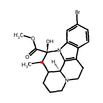 CC[C@]12CCCN3CCc4c(n(c5cc(Br)ccc45)[C@@](O)(C(=O)OC)C1)[C@@H]32